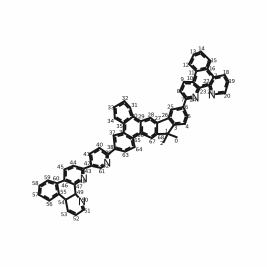 CC1(C)c2ccc(-c3ccc4c5ccccc5c5cccnc5c4n3)cc2-c2cc3c4ccccc4c4cc(-c5ccc(-c6ccc7c(n6)C6N=CC=CC6c6ccccc6-7)cn5)ccc4c3cc21